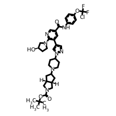 CC(C)(C)OC(=O)N1C[C@H]2CC(N3CCC(n4cc(-c5cc(C(=O)Nc6ccc(OC(F)(F)Cl)cc6)cnc5N5CC[C@@H](O)C5)cn4)CC3)C[C@H]2C1